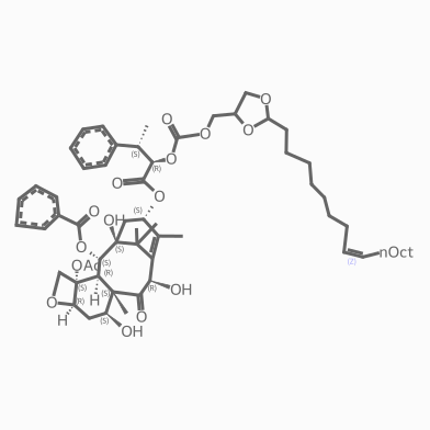 CCCCCCCC/C=C\CCCCCCCC1OCC(COC(=O)O[C@@H](C(=O)O[C@H]2C[C@@]3(O)[C@@H](OC(=O)c4ccccc4)[C@@H]4[C@]5(OC(C)=O)CO[C@@H]5C[C@H](O)[C@@]4(C)C(=O)[C@H](O)C(=C2C)C3(C)C)[C@@H](C)c2ccccc2)O1